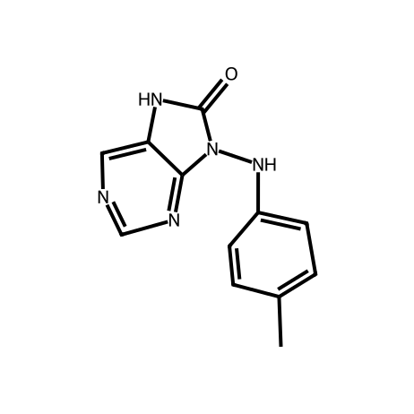 Cc1ccc(Nn2c(=O)[nH]c3cncnc32)cc1